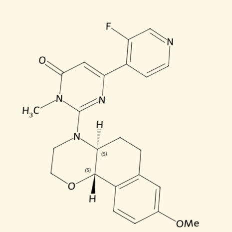 COc1ccc2c(c1)CC[C@H]1[C@H]2OCCN1c1nc(-c2ccncc2F)cc(=O)n1C